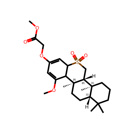 COC(=O)COC1=CC2C(C(OC)=C1)[C@]1(C)CC[C@H]3C(C)(C)CCC[C@]3(C)[C@H]1CS2(=O)=O